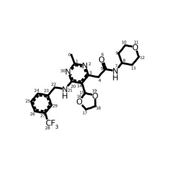 Cc1nc(CC(=O)NC2CCOCC2)c(C2OCCO2)c(NCc2cccc(C(F)(F)F)c2)n1